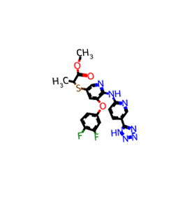 CCOC(=O)C(C)Sc1cnc(Nc2ccc(-c3nnn[nH]3)cn2)c(Oc2ccc(F)c(F)c2)c1